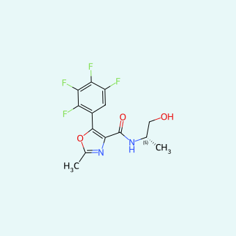 Cc1nc(C(=O)N[C@@H](C)CO)c(-c2cc(F)c(F)c(F)c2F)o1